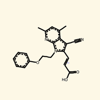 Cc1cc(C)c2c(C#N)c(/C=C/C(=O)O)n(CCOc3ccccc3)c2n1